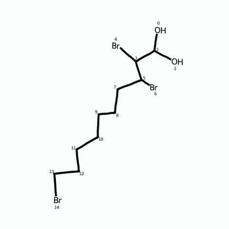 OC(O)C(Br)C(Br)CCCCCCCBr